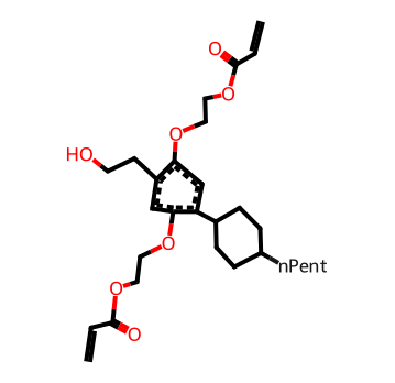 C=CC(=O)OCCOc1cc(C2CCC(CCCCC)CC2)c(OCCOC(=O)C=C)cc1CCO